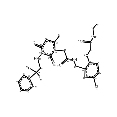 CCNC(=O)COc1ccc(Cl)cc1CNC(=O)Cn1c(C)cc(=O)n(NCC(F)(F)c2ccccn2)c1=O